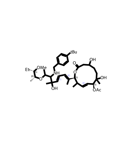 CC[C@H](OC)[C@@H](C)OC(C)C(NCc1ccc(C(C)(C)C)cc1)C(C)(O)/C=C/C=C(\C)[C@H]1OC(=O)CC(O)CCC(C)(O)[C@@H](OC(C)=O)/C=C/C1C